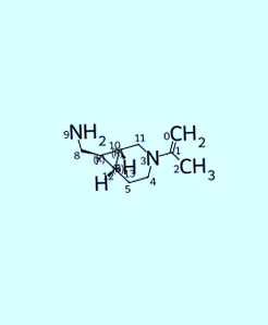 C=C(C)N1CC[C@@H]2[C@@H](CN)[C@@H]2C1